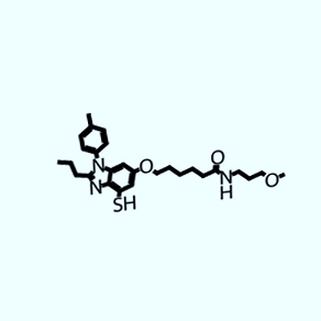 CCCc1nc2c(S)cc(OCCCCCC(=O)NCCCOC)cc2n1-c1ccc(C)cc1